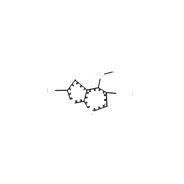 CC(C)Nc1c(C(=O)O)cnc2sc(Br)cc12